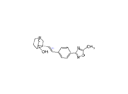 Cc1nc(-c2ccc(/C=C/C3(O)CN4CCC3CC4)cc2)no1